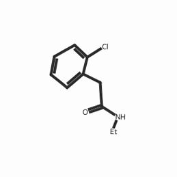 CCNC(=O)Cc1ccccc1Cl